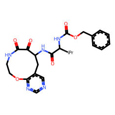 CC(C)C(NC(=O)OCc1ccccc1)C(=O)NC1Cc2cncnc2OCCNC(=O)C1=O